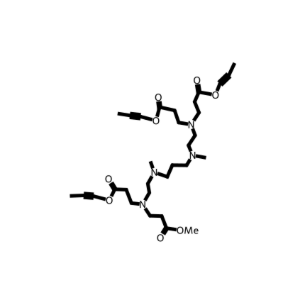 CC#COC(=O)CCN(CCC(=O)OC)CCN(C)CCCN(C)CCN(CCC(=O)OC#CC)CCC(=O)OC#CC